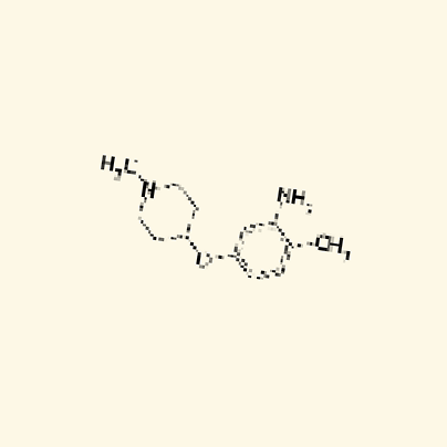 Cc1ccc(OC2CCN(C)CC2)cc1N